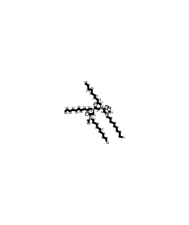 CCCCCCCCCCN(C=O)CC(=O)N(CCCCCCCCCC)CC(=O)N(CCCCCCCCCC)CC(=O)N(CC)CCCCCCCCCC